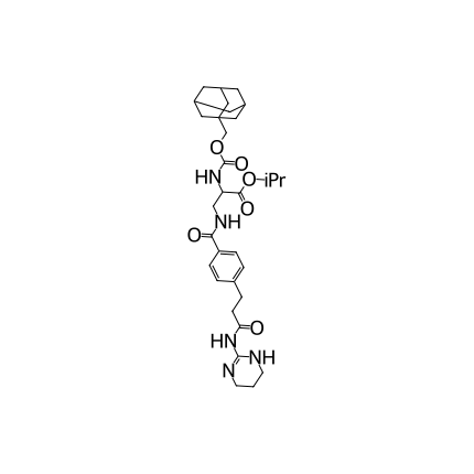 CC(C)OC(=O)C(CNC(=O)c1ccc(CCC(=O)NC2=NCCCN2)cc1)NC(=O)OCC12CC3CC(CC(C3)C1)C2